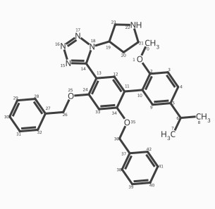 COc1ccc(C(C)C)cc1-c1cc(-c2nnnn2C2CCNC2)c(OCc2ccccc2)cc1OCc1ccccc1